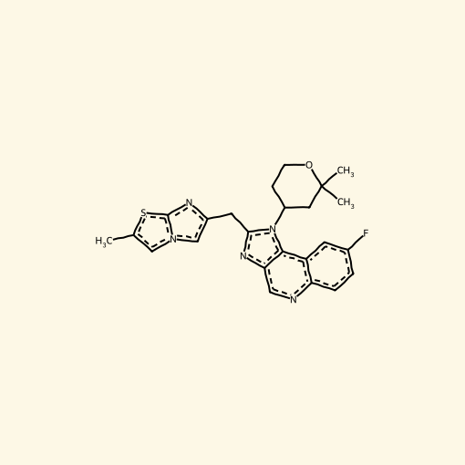 Cc1cn2cc(Cc3nc4cnc5ccc(F)cc5c4n3C3CCOC(C)(C)C3)nc2s1